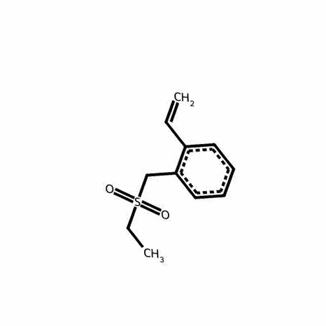 C=Cc1ccccc1CS(=O)(=O)CC